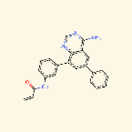 C=CC(=O)Nc1cccc(-c2cc(-c3ccccc3)cc3c(N)ncnc23)c1